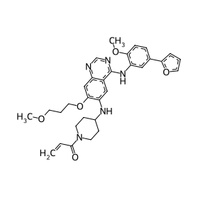 C=CC(=O)N1CCC(Nc2cc3c(Nc4cc(-c5ccco5)ccc4OC)ncnc3cc2OCCCOC)CC1